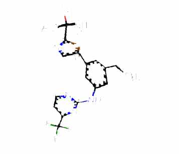 CCc1cc(Nc2nccc(C(F)(F)F)n2)cc(-c2cnc(C(C)(C)O)s2)c1